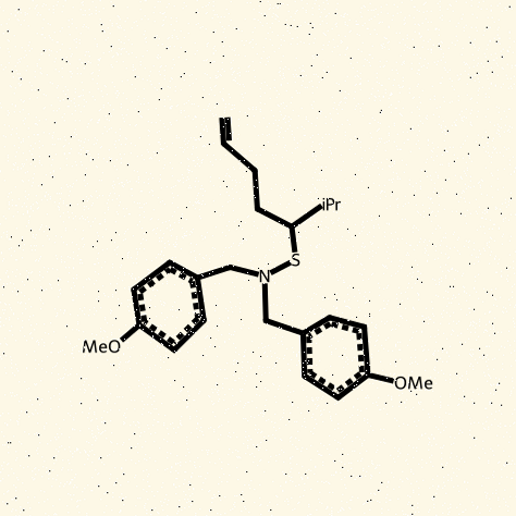 C=CCCC(SN(Cc1ccc(OC)cc1)Cc1ccc(OC)cc1)C(C)C